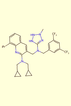 CC(C)c1cccc2cc(CN(Cc3cc(C(F)(F)F)cc(C(F)(F)F)c3)C3=NN(C)NN3)c(N(CC3CC3)CC3CC3)nc12